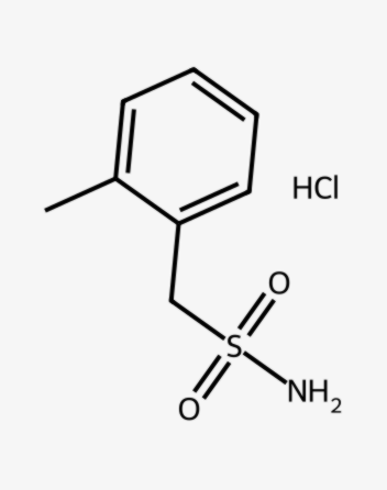 Cc1ccccc1CS(N)(=O)=O.Cl